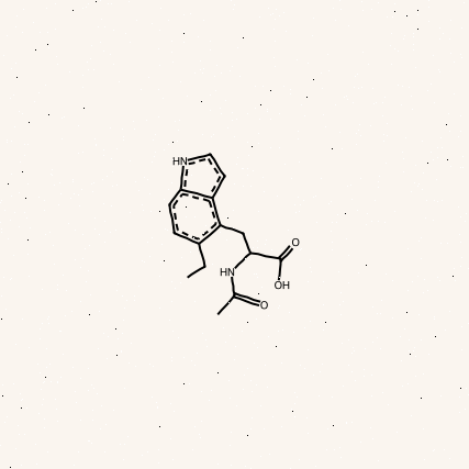 CCc1ccc2[nH]ccc2c1CC(NC(C)=O)C(=O)O